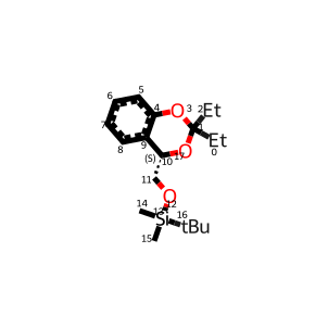 CCC1(CC)Oc2ccccc2[C@@H](CO[Si](C)(C)C(C)(C)C)O1